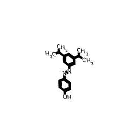 CC(C)c1cc(N=Nc2ccc(O)cc2)cc(C(C)C)c1